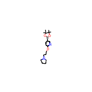 CC1(C)OB(c2ccc(OCCCN3CCCC3)nc2)OC1(C)C